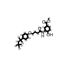 COC(=O)c1ccc(O)c(NC(=O)CCCOc2ccc(C(C)(C)CC(C)(C)C)cc2)c1